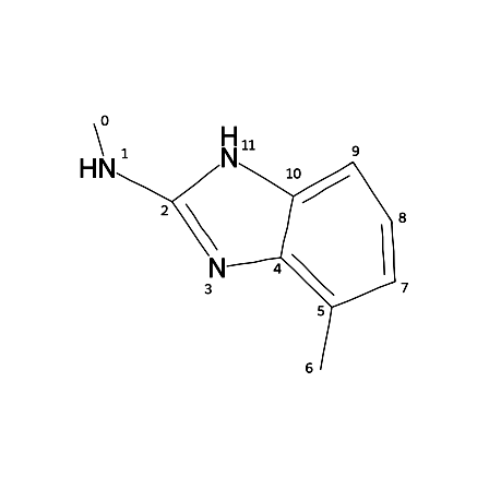 CNc1nc2c(C)cccc2[nH]1